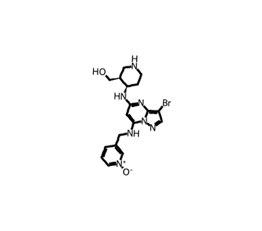 [O-][n+]1cccc(CNc2cc(N[C@@H]3CCNC[C@@H]3CO)nc3c(Br)cnn23)c1